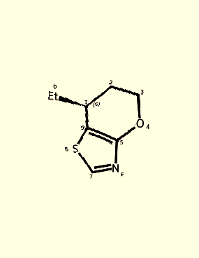 CC[C@H]1CCOc2ncsc21